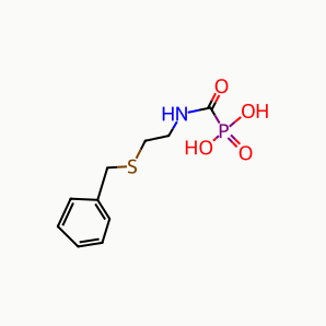 O=C(NCCSCc1ccccc1)P(=O)(O)O